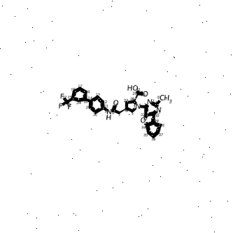 Cc1nc(N2C[C@@H](CC(=O)Nc3ccc(-c4cccc(C(F)(F)F)c4)cc3)C[C@H]2C(=O)O)c2oc3ccccc3c2n1